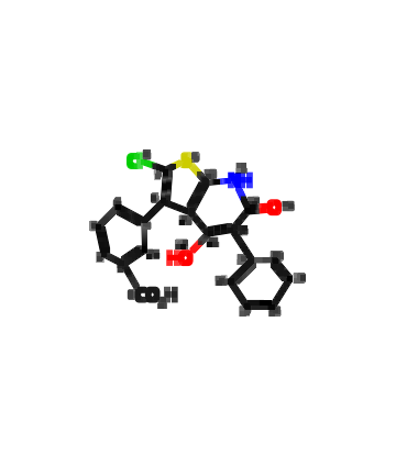 O=C(O)c1cccc(-c2c(Cl)sc3[nH]c(=O)c(-c4ccccc4)c(O)c23)c1